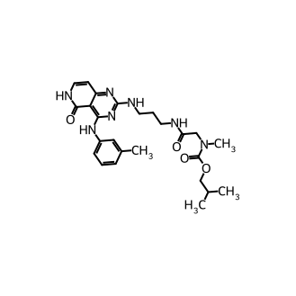 Cc1cccc(Nc2nc(NCCCNC(=O)CN(C)C(=O)OCC(C)C)nc3cc[nH]c(=O)c23)c1